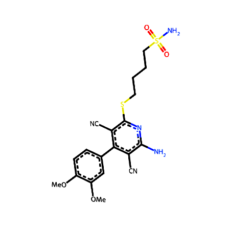 COc1ccc(-c2c(C#N)c(N)nc(SCCCCS(N)(=O)=O)c2C#N)cc1OC